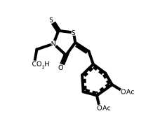 CC(=O)Oc1ccc(/C=C2/SC(=S)N(CC(=O)O)C2=O)cc1OC(C)=O